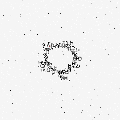 CCCC[C@H]1C(=O)N(C)CC(=O)NC(CC(=O)O)C(=O)N[C@@H](C(C)C)C(=O)N(C)[C@@H](Cc2ccccc2)C(=O)N[C@@H](Cc2ccc(O)cc2)C(=O)N(C)CC(=O)N[C@@H](Cc2c[nH]c3ccccc23)C(=O)N[C@@H](Cc2ccc(O)cc2)C(=O)N[C@@H](CC(C)C)C(=O)N[C@H](C(=O)NCC(N)=O)CC(=O)NCC(=O)NC(Cc2ccccc2)CN(C)[C@@H](Cc2ccccc2)C(=O)N1C